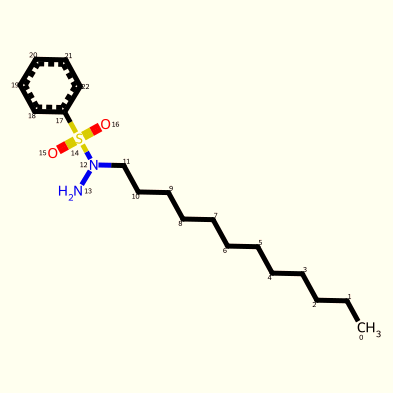 CCCCCCCCCCCCN(N)S(=O)(=O)c1ccccc1